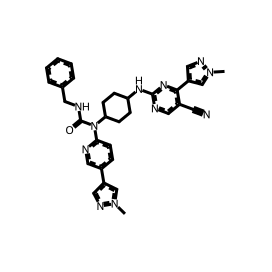 Cn1cc(-c2ccc(N(C(=O)NCc3ccccc3)C3CCC(Nc4ncc(C#N)c(-c5cnn(C)c5)n4)CC3)nc2)cn1